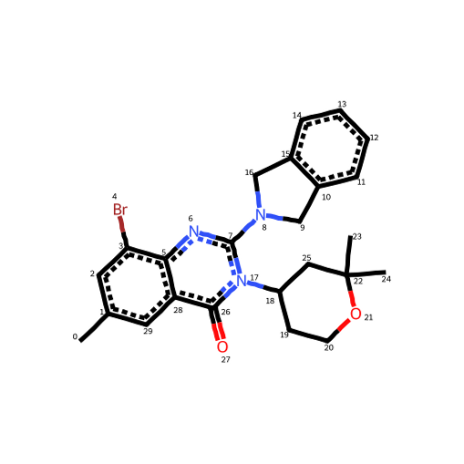 Cc1cc(Br)c2nc(N3Cc4ccccc4C3)n(C3CCOC(C)(C)C3)c(=O)c2c1